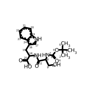 CC(C)(C)OC(=O)NC(CO)C(=O)NC(Cc1c[nH]c2ccccc12)C(=O)O